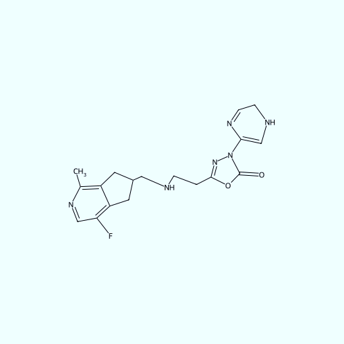 Cc1ncc(F)c2c1CC(CNCCc1nn(C3=CNCC=N3)c(=O)o1)C2